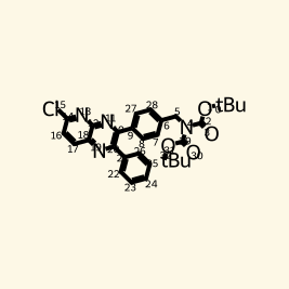 CC(C)(C)OC(=O)N(Cc1ccc(-c2nc3nc(Cl)ccc3nc2-c2ccccc2)cc1)C(=O)OC(C)(C)C